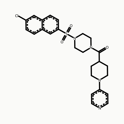 O=C(C1CCN(c2ccncc2)CC1)N1CCN(S(=O)(=O)c2ccc3cc(Cl)ccc3c2)CC1